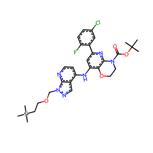 CC(C)(C)OC(=O)N1CCOc2c(Nc3ccnc4c3cnn4COCC[Si](C)(C)C)cc(-c3cc(Cl)ccc3F)nc21